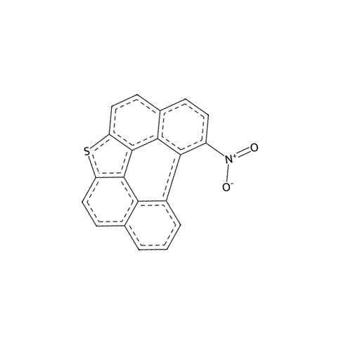 O=[N+]([O-])c1ccc2ccc3sc4ccc5cccc6c1c2c3c4c56